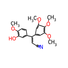 COc1ccc(C(=CC#N)c2cc(OC)c(OC)c(OC)c2)cc1O